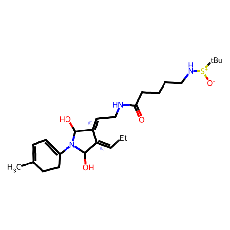 CC/C=C1\C(=C/CNC(=O)CCCCN[S+]([O-])C(C)(C)C)C(O)N(C2=CC=C(C)CC2)C1O